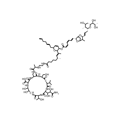 C=CCC/C=C/CC1C=CC(OC(=O)\C=C/C=C\C=C\[C@H]2OC3CC2O[C@@H](/C=C/C[C@H]2O[C@@H]([C@@H](O)[C@H](C)O)C[C@H](O)[C@H]2C)C3C)C(/C(C)=C/[C@H](C)CCCCC(=O)NCCNC(C)C(=O)NCC2NC(=O)C(C(=O)O)NC(O)C(O)CNC(=O)C(C(C)O)NC(=O)C(C(O)C(O)C(N)=O)NC(=O)C(C(C)C)CC(=O)C(CO)NC2=O)O1